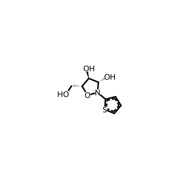 OC[C@H]1ON(c2cccs2)[C@@H](O)[C@@H]1O